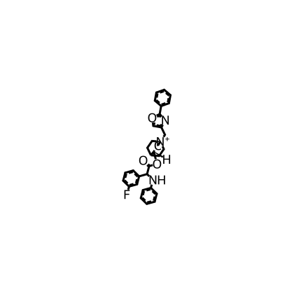 O=C(O[C@H]1C[N+]2(Cc3coc(-c4ccccc4)n3)CCC1CC2)C(Nc1ccccc1)c1cccc(F)c1